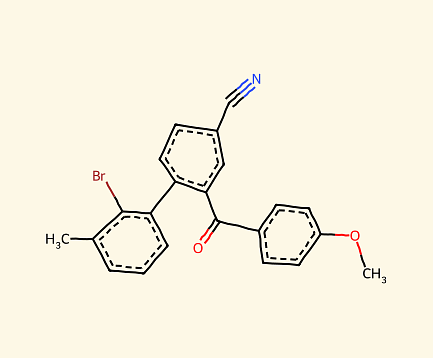 COc1ccc(C(=O)c2cc(C#N)ccc2-c2cccc(C)c2Br)cc1